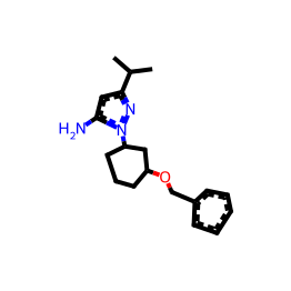 CC(C)c1cc(N)n(C2CCCC(OCc3ccccc3)C2)n1